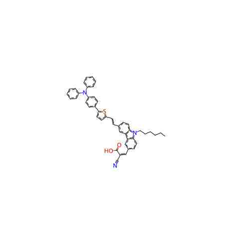 CCCCCCn1c2ccc(C=Cc3ccc(-c4ccc(N(c5ccccc5)c5ccccc5)cc4)s3)cc2c2cc(C=C(C#N)C(=O)O)ccc21